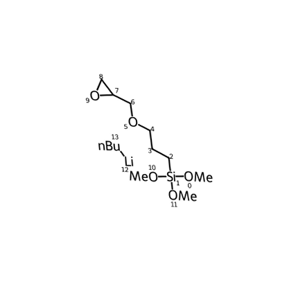 CO[Si](CCCOCC1CO1)(OC)OC.[Li][CH2]CCC